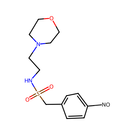 O=Nc1ccc(CS(=O)(=O)NCCN2CCOCC2)cc1